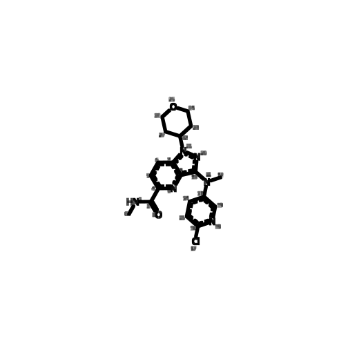 CNC(=O)c1ccc2c(n1)c(N(C)c1ccc(Cl)nc1)nn2C1CCOCC1